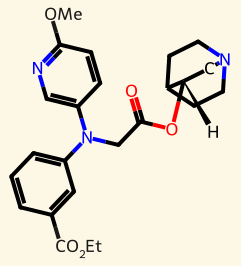 CCOC(=O)c1cccc(N(CC(=O)O[C@H]2CN3CCC2CC3)c2ccc(OC)nc2)c1